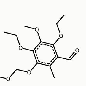 CCOc1c(C=O)c(C)c(OCOC)c(OCC)c1OC